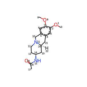 COc1cc2c(cc1OC)CN1CC[C@H](NC(C)=O)C[C@@H]1C2